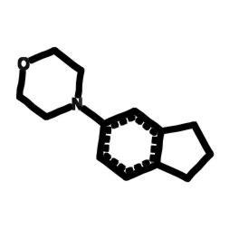 c1cc2c(cc1N1CCOCC1)CCC2